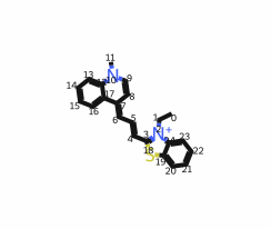 CC[n+]1c(C=CC=C2C=CN(C)c3ccccc32)sc2ccccc21